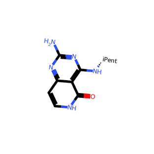 CCC[C@@H](C)Nc1nc(N)nc2cc[nH]c(=O)c12